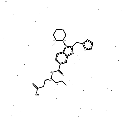 CC[C@H](C)[C@@H](CCC(=O)O)NC(=O)c1ccc2c(c1)nc(Cc1cccs1)n2[C@@H]1CCCC[C@H]1C